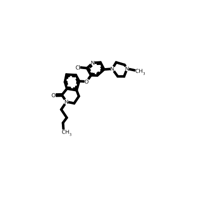 CCCCN1CCc2c(Oc3cc(N4CCN(C)CC4)cnc3Cl)cccc2C1=O